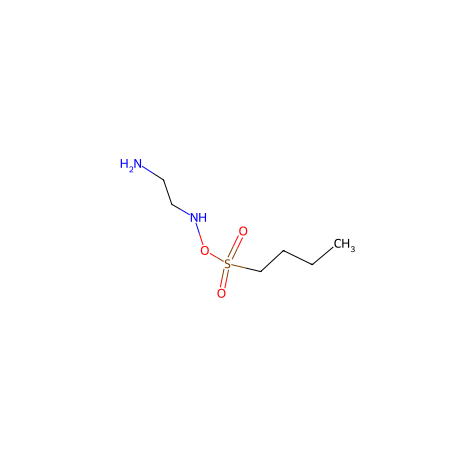 CCCCS(=O)(=O)ONCCN